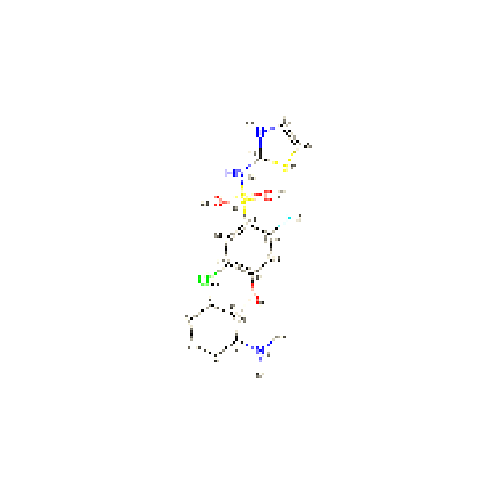 CN(C)C1CCCC[C@@H]1Oc1cc(F)c(S(=O)(=O)Nc2nccs2)cc1Cl